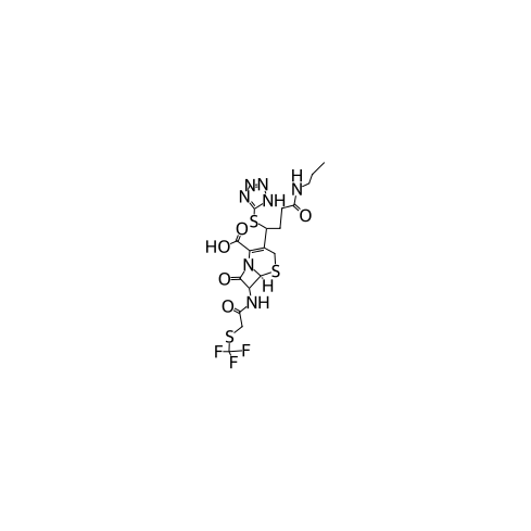 CCCNC(=O)CCC(Sc1nnn[nH]1)C1=C(C(=O)O)N2C(=O)C(NC(=O)CSC(F)(F)F)[C@@H]2SC1